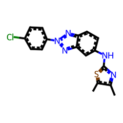 Cc1nc(Nc2ccc3nn(-c4ccc(Cl)cc4)nc3c2)sc1C